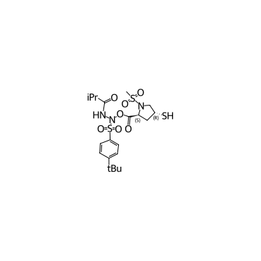 CC(C)C(=O)NN(OC(=O)[C@@H]1C[C@@H](S)CN1S(C)(=O)=O)S(=O)(=O)c1ccc(C(C)(C)C)cc1